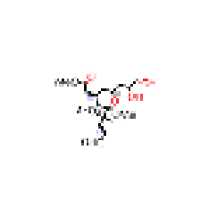 COC(=O)/C=C1\C[C@@H](CC(O)CO)O[C@@](OC)(C(C)(C)/C=C/C=O)[C@H]1OC(C)=O